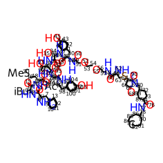 CCC(C)[C@H](NC(=O)[C@@H](N)Cc1ccccc1)C(=O)N[C@@H](CCSC)C(=O)OC[C@H](NC(=O)[C@@H](NC(=O)[C@H](CO)NC(=O)[C@H](Cc1ccc(O)cc1)NC(=O)COCCOCCNC(=O)[C@@H](N)CSC1CC(=O)N(CC2CCC(C(=O)NCC3CCCCCCC3)CC2)C1=O)C(C)O)C(=O)N[C@@H](Cc1ccc(O)cc1)C(C)=O